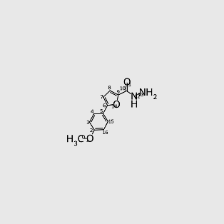 COc1ccc(-c2ccc(C(=O)NN)o2)cc1